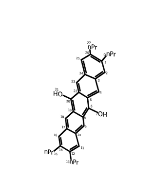 CCCc1cc2cc3c(O)c4cc5cc(CCC)c(CCC)cc5cc4c(O)c3cc2cc1CCC